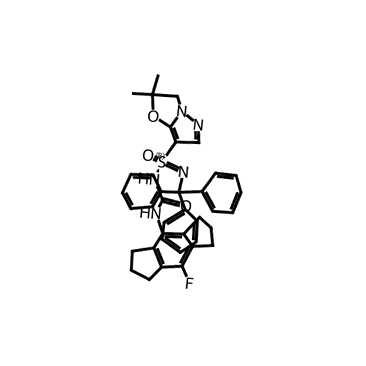 CC1(C)Cn2ncc([S@](=O)(=NC(c3ccccc3)(c3ccccc3)c3ccccc3)NC(=O)Nc3c4c(c(F)c5c3CCC5)CCC4)c2O1